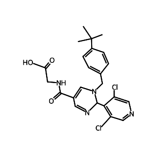 CC(C)(C)c1ccc(CN2C=C(C(=O)NCC(=O)O)C=NC2c2c(Cl)cncc2Cl)cc1